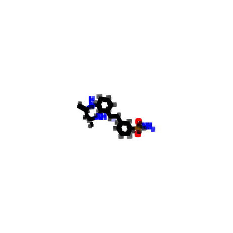 C=C1C[C@@H](C)Nc2c(/C=C/c3cccc(S(N)(=O)=O)c3)cccc2N1